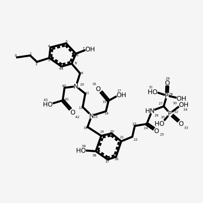 CCCc1ccc(O)c(CN(CCN(CC(=O)O)Cc2cc(CCC(=O)NC(P(=O)(O)O)P(=O)(O)O)ccc2O)CC(=O)O)c1